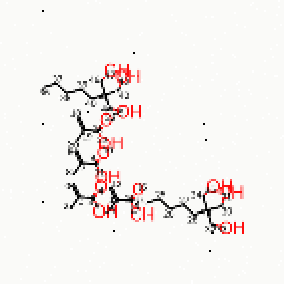 C=C(C)C(=O)O.C=C(C)C(=O)O.C=C(C)C(=O)O.C=C(C)C(=O)O.CCCCCC(CO)(CO)CO.CCCCCC(CO)(CO)CO